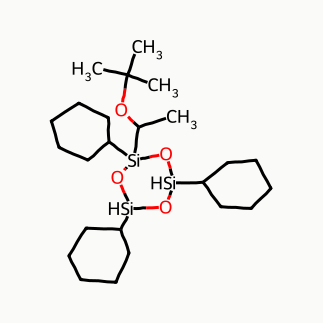 CC(OC(C)(C)C)[Si]1(C2CCCCC2)O[SiH](C2CCCCC2)O[SiH](C2CCCCC2)O1